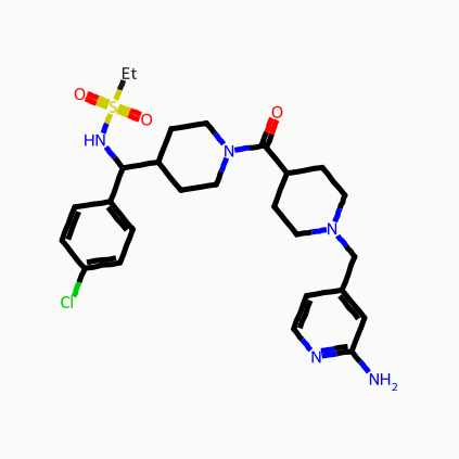 CCS(=O)(=O)NC(c1ccc(Cl)cc1)C1CCN(C(=O)C2CCN(Cc3ccnc(N)c3)CC2)CC1